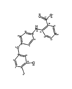 Cc1ccc(Oc2ccc(Nc3ccncc3[N+](=O)[O-])cn2)cc1Cl